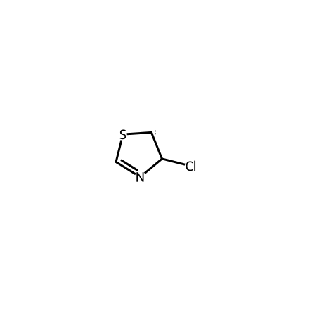 ClC1[C]SC=N1